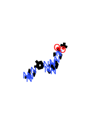 Cc1cc(Nc2ncnc3ccc(N4CCN(C(=O)OC(C)(C)C)CC4)nc23)ccc1CN1CCn2ncnc2C1